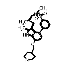 C=c1[nH]c2c(OCC3CCNCC3)ccc(-c3cccc(S(=O)(=O)CC)c3)c2/c1=C/C(C)=C\N